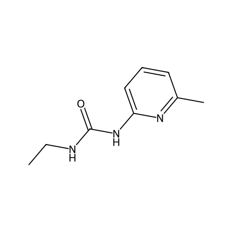 CCNC(=O)Nc1cccc(C)n1